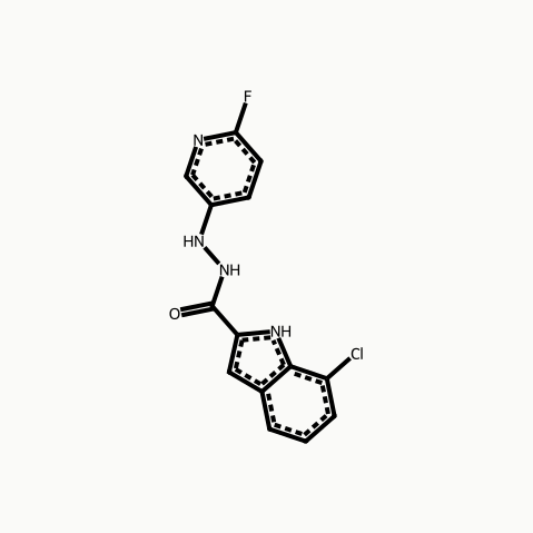 O=C(NNc1ccc(F)nc1)c1cc2cccc(Cl)c2[nH]1